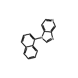 [c]1nc2cnccc2n1-c1cccc2ccccc12